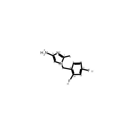 Cc1nc(N)cn1Cc1ccc(F)cc1F